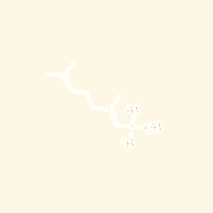 [2H]C([2H])(O)/C=C(\C)CCC=C(C)C